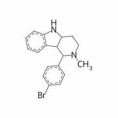 CN1CCC2Nc3ccccc3C2C1c1ccc(Br)cc1